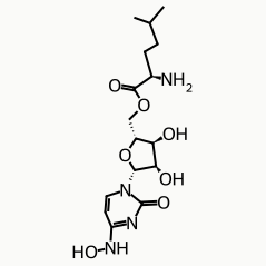 CC(C)CC[C@@H](N)C(=O)OC[C@H]1O[C@@H](n2ccc(NO)nc2=O)[C@H](O)[C@@H]1O